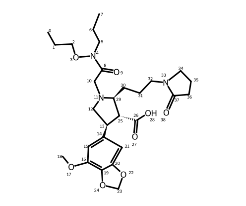 CCCON(CCC)C(=O)CN1C[C@H](c2cc(OC)c3c(c2)OCO3)[C@@H](C(=O)O)[C@@H]1CCCN1CCCC1=O